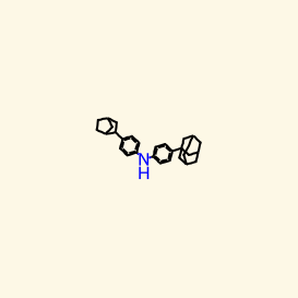 c1cc(C2CC3CCC2C3)ccc1Nc1ccc(C23CC4CC(CC(C4)C2)C3)cc1